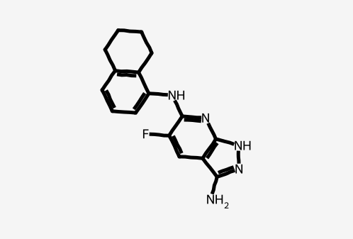 Nc1n[nH]c2nc(Nc3cccc4c3CCCC4)c(F)cc12